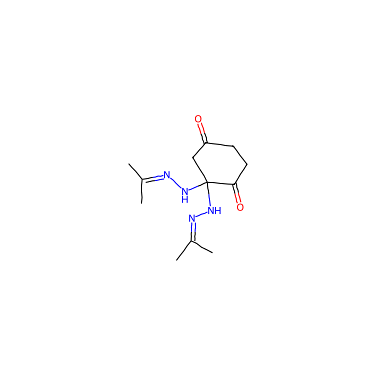 CC(C)=NNC1(NN=C(C)C)CC(=O)CCC1=O